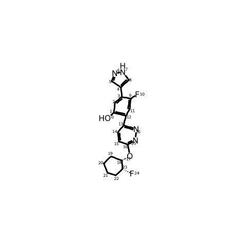 Oc1cc(-c2cn[nH]c2)c(F)cc1-c1ccc(O[C@H]2CCCC[C@H]2F)nn1